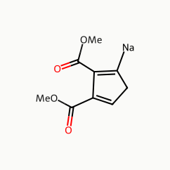 COC(=O)C1=CC[C]([Na])=C1C(=O)OC